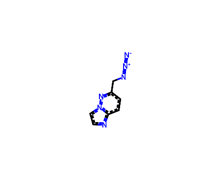 [N-]=[N+]=NCc1ccc2nccn2n1